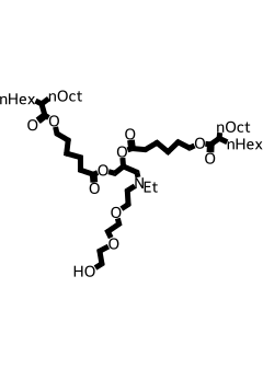 CCCCCCCCC(CCCCCC)C(=O)OCCCCCC(=O)OCC(CN(CC)CCOCCOCCO)OC(=O)CCCCCOC(=O)C(CCCCCC)CCCCCCCC